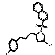 O=S(=O)(c1ccc2ccccc2c1)N1CC(S)CC1CCCc1ccc(F)cc1